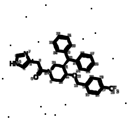 O=C(Cc1c[nH]cn1)N1CC[C@H](OCc2ccc(C(F)(F)F)cc2)[C@H](C(c2ccccc2)c2ccccc2)C1